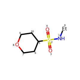 CCNS(=O)(=O)C1CCOCC1